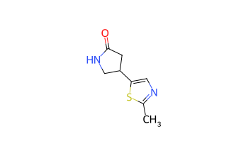 Cc1ncc(C2CNC(=O)C2)s1